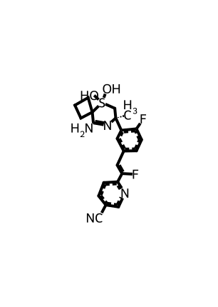 C[C@@]1(c2cc(/C=C(\F)c3ccc(C#N)cn3)ccc2F)CS(O)(O)C2(CCC2)C(N)=N1